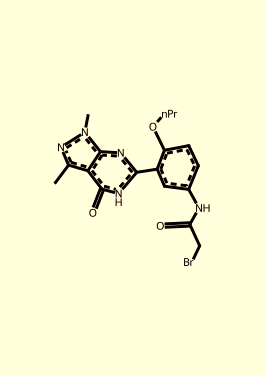 CCCOc1ccc(NC(=O)CBr)cc1-c1nc2c(c(C)nn2C)c(=O)[nH]1